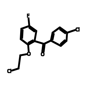 O=C(c1ccc(Cl)cc1)c1cc(F)ccc1OCCCl